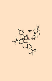 C=C(c1ccc2c(c1)CCc1cc(C(=O)N(C)C)ccc1C2(C[C@H](C)NCC(=O)N1C(C#N)C[C@@H]2C[C@@H]21)c1nnc(-c2ccc(C)cc2)[nH]1)N(C)C